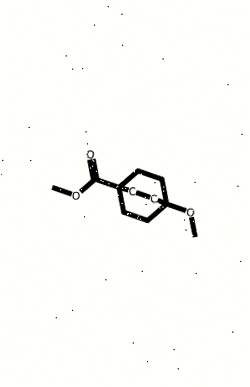 COC(=O)C12CCC(OC)(CC1)CC2